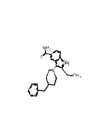 CCc1[nH]c2ccc(C(N)=O)cc2c1N1CCC(Cc2ccccc2)CC1